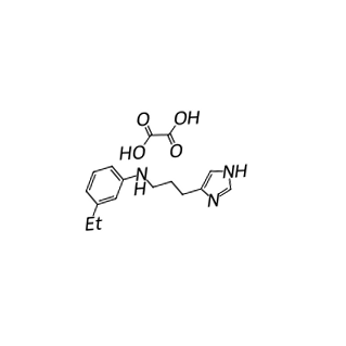 CCc1cccc(NCCCc2c[nH]cn2)c1.O=C(O)C(=O)O